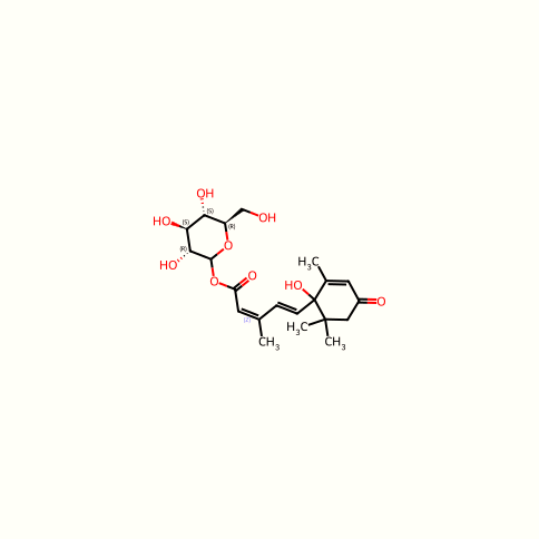 CC1=CC(=O)CC(C)(C)C1(O)C=C/C(C)=C\C(=O)OC1O[C@H](CO)[C@@H](O)[C@H](O)[C@H]1O